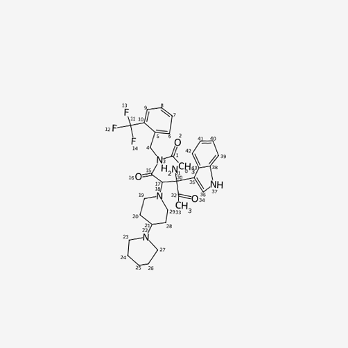 CC(=O)N(Cc1ccccc1C(F)(F)F)C(=O)C(N1CCC(N2CCCCC2)CC1)C(N)(C(C)=O)c1c[nH]c2ccccc12